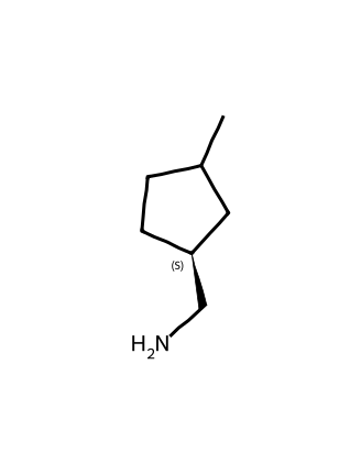 CC1CC[C@H](CN)C1